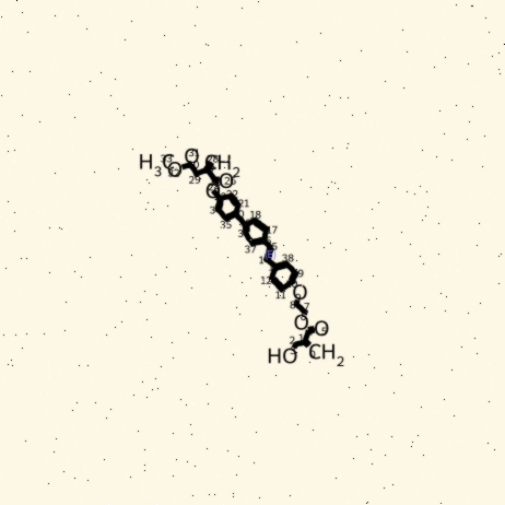 C=C(CO)C(=O)OCCOc1ccc(/C=C/c2ccc(-c3ccc(OC(=O)C(=C)CC(=O)OC)cc3)cc2)cc1